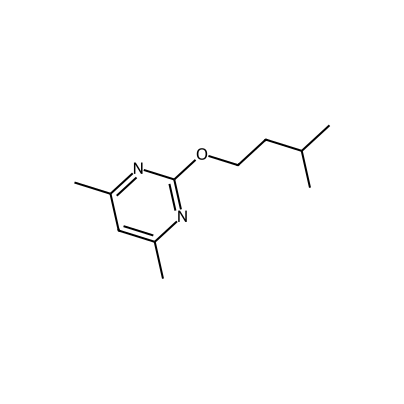 Cc1cc(C)nc(OCCC(C)C)n1